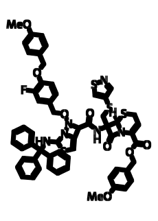 COc1ccc(COC(=O)C2=CCS[C@@H]3N2C(=O)C3(CSc2cnsc2)NC(=O)C2C3=CSC(NC(c4ccccc4)(c4ccccc4)c4ccccc4)N3N2OCc2ccc(OCc3ccc(OC)cc3)c(F)c2)cc1